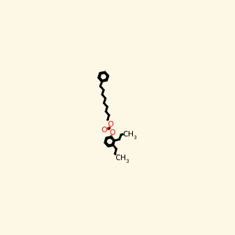 CCCc1cccc(OC(=O)OCCCCCCCCCc2ccccc2)c1CCC